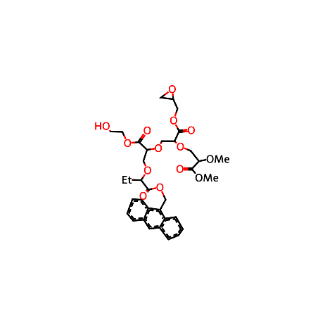 CCC(OCC(OCC(OCC(OC)C(=O)OC)C(=O)OCC1CO1)C(=O)OCCO)C(=O)OCc1c2ccccc2cc2ccccc12